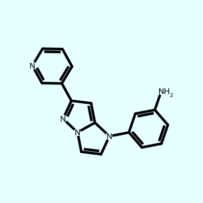 Nc1cccc(-n2ccn3nc(-c4cccnc4)cc23)c1